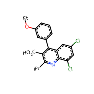 CCOc1cccc(-c2c(C(=O)O)c(C(C)C)nc3c(Cl)cc(Cl)cc23)c1